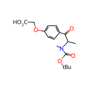 CC(C(=O)c1ccc(OCC(=O)O)cc1)N(C)C(=O)OC(C)(C)C